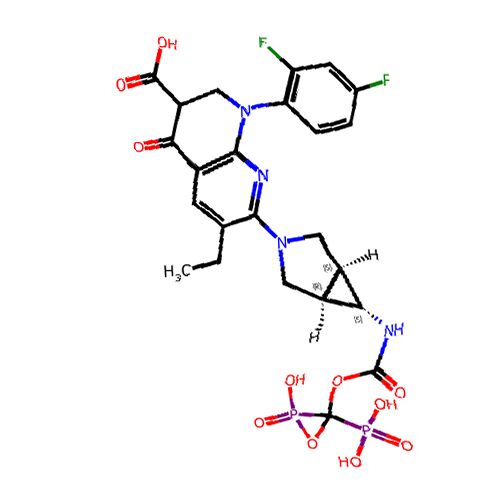 CCc1cc2c(nc1N1C[C@@H]3[C@H](C1)[C@H]3NC(=O)OC1(P(=O)(O)O)OP1(=O)O)N(c1ccc(F)cc1F)CC(C(=O)O)C2=O